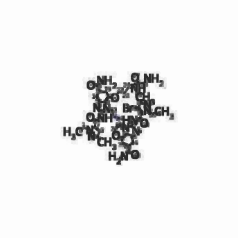 CCn1nc(C)cc1C(=O)Nc1nc2cc(C(N)=O)cc(OCCCNC(=O)CN)c2n1C/C=C/[C@H]1COc2cc(C(N)=O)cc3nc(NC(=O)c4c(Br)c(C)nn4CC)n1c23